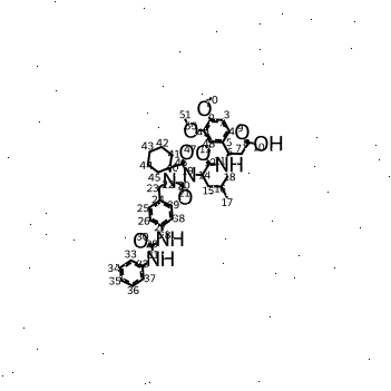 COc1ccc(C(CC(=O)O)NC(=O)C(CC(C)C)N2C(=O)N(Cc3ccc(NC(=O)Nc4ccccc4)cc3)C3(CCCCC3)C2=O)cc1OC